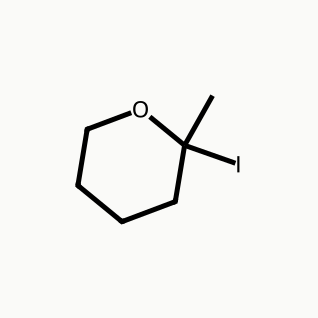 CC1(I)CCCCO1